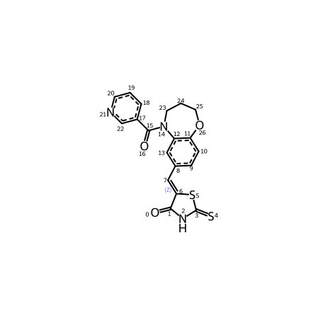 O=C1NC(=S)S/C1=C\c1ccc2c(c1)N(C(=O)c1cccnc1)CCCO2